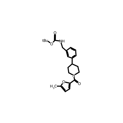 Cc1ccc(C(=O)N2CCC(c3cccc(CNC(=O)OC(C)(C)C)c3)CC2)o1